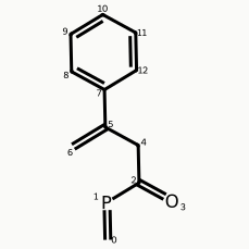 C=PC(=O)CC(=C)c1ccccc1